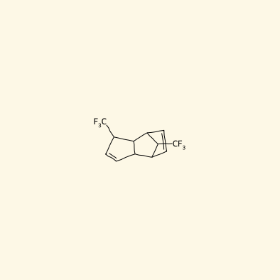 FC(F)(F)C1C=CC2C3C=CC(C21)C3C(F)(F)F